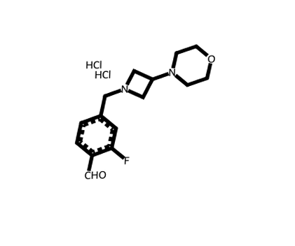 Cl.Cl.O=Cc1ccc(CN2CC(N3CCOCC3)C2)cc1F